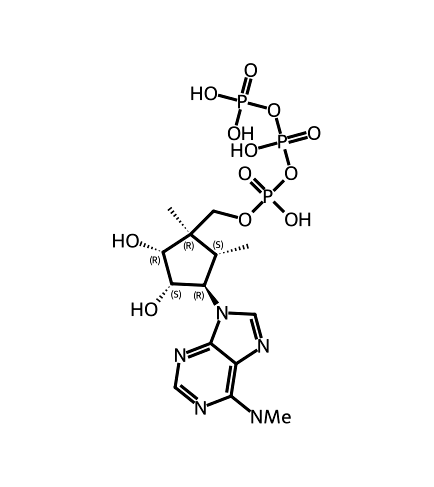 CNc1ncnc2c1ncn2[C@H]1[C@H](O)[C@H](O)[C@@](C)(COP(=O)(O)OP(=O)(O)OP(=O)(O)O)[C@@H]1C